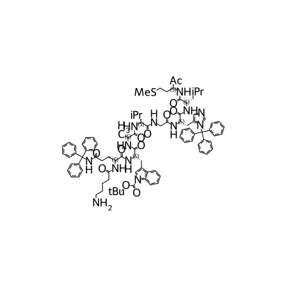 CSCC[C@H](NC(=O)[C@H](CC(C)C)NC(=O)[C@H](Cc1cncn1C(c1ccccc1)(c1ccccc1)c1ccccc1)NC(=O)CNC(=O)[C@@H](NC(=O)[C@H](C)NC(=O)[C@H](Cc1cn(C(=O)OC(C)(C)C)c2ccccc12)NC(=O)[C@H](CCC(=O)NC(c1ccccc1)(c1ccccc1)c1ccccc1)NC(=O)CCCCN)C(C)C)C(C)=O